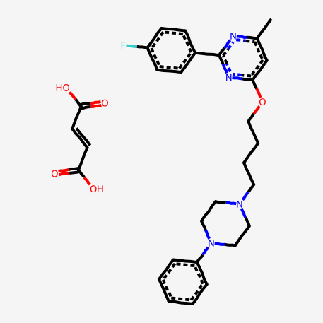 Cc1cc(OCCCCN2CCN(c3ccccc3)CC2)nc(-c2ccc(F)cc2)n1.O=C(O)C=CC(=O)O